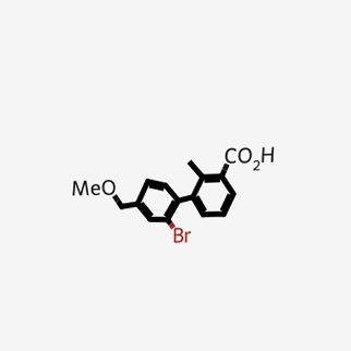 COCc1ccc(-c2cccc(C(=O)O)c2C)c(Br)c1